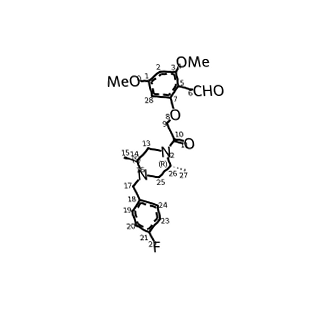 COc1cc(OC)c(C=O)c(OCC(=O)N2C[C@H](C)N(Cc3ccc(F)cc3)C[C@H]2C)c1